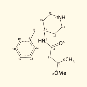 COC(C)CC(=O)NC1(Cc2ccccc2)CCNCC1